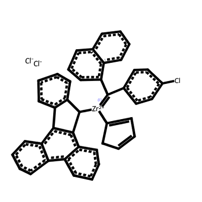 Clc1ccc(/[C](c2cccc3ccccc23)=[Zr+2](\[C]2=CC=CC2)[CH]2c3ccccc3-c3c2c2ccccc2c2ccccc32)cc1.[Cl-].[Cl-]